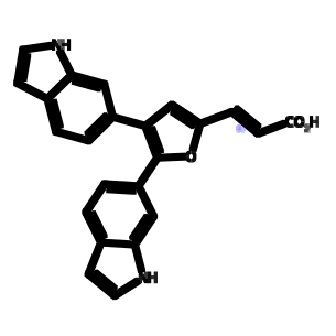 O=C(O)/C=C/c1cc(-c2ccc3cc[nH]c3c2)c(-c2ccc3cc[nH]c3c2)o1